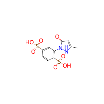 Cc1cc(=O)n(-c2cc(S(=O)(=O)O)ccc2S(=O)(=O)O)[nH]1